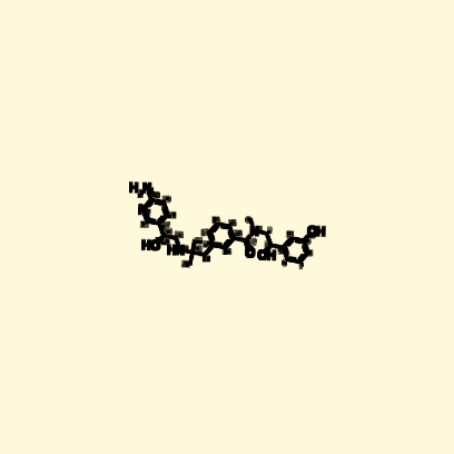 CN(CC(O)c1cccc(O)c1)C(=O)c1cccc(CC(C)(C)NC[C@@H](O)c2ccc(N)nc2)c1